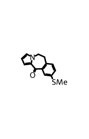 CSc1ccc2c(c1)C(=O)c1cccn1CC2